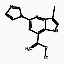 C=C(OCC)c1nc(-n2ccnc2)nc2c(I)c[nH]c12